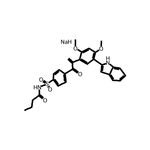 C=C(C(=O)c1ccc(S(=O)(=O)NC(=O)CCC)cc1)c1cc(-c2cc3ccccc3[nH]2)c(OC)cc1OC.[NaH]